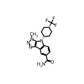 Cn1nnc2c3cc(C(N)=O)ccc3n([C@H]3CC[C@H](C(F)(F)F)CC3)c21